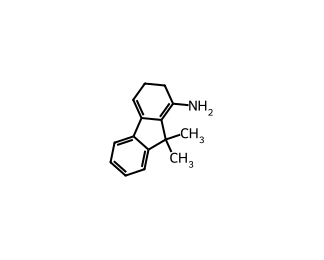 CC1(C)C2=C(N)CCC=C2c2ccccc21